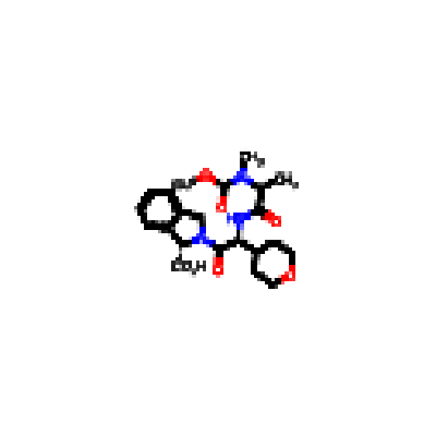 CC(C(=O)NC(C(=O)N1Cc2ccccc2[C@H]1C(=O)O)C1CCOCC1)N(C)C(=O)OC(C)(C)C